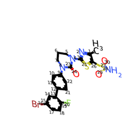 Cc1nc(N2CCCN(c3ccc(-c4cc(Br)ccc4F)cc3)C2=O)sc1S(N)(=O)=O